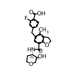 Cc1c(Cc2ccc(C(=O)O)c(F)c2)cc(C(=O)N[C@H]2CCOC[C@@H]2O)c2c1CCO2